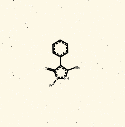 CC(C)n1[nH]c(C(C)(C)C)c(-c2ccccc2)c1=O